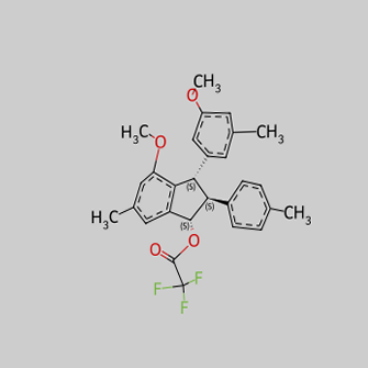 COc1cc(C)cc([C@H]2c3c(OC)cc(C)cc3[C@@H](OC(=O)C(F)(F)F)[C@@H]2c2ccc(C)cc2)c1